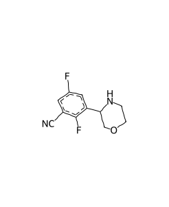 N#Cc1cc(F)cc(C2COCCN2)c1F